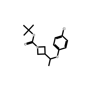 CC(Oc1ccc(Cl)cc1)C1CN(C(=O)OC(C)(C)C)C1